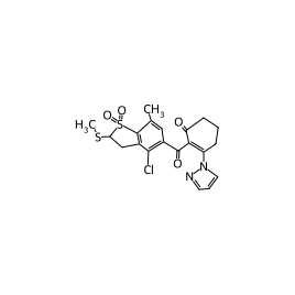 CSC1Cc2c(Cl)c(C(=O)C3=C(n4cccn4)CCCC3=O)cc(C)c2S1(=O)=O